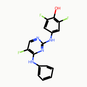 Oc1c(F)cc(Nc2ncc(F)c(Nc3ccccc3)n2)cc1F